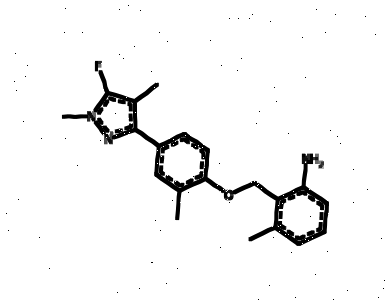 Cc1cc(-c2nn(C)c(F)c2C)ccc1OCc1c(C)cccc1N